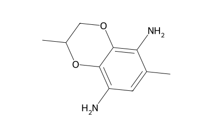 Cc1cc(N)c2c(c1N)OCC(C)O2